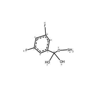 OC(O)(O[SiH3])c1cc(F)cc(F)c1